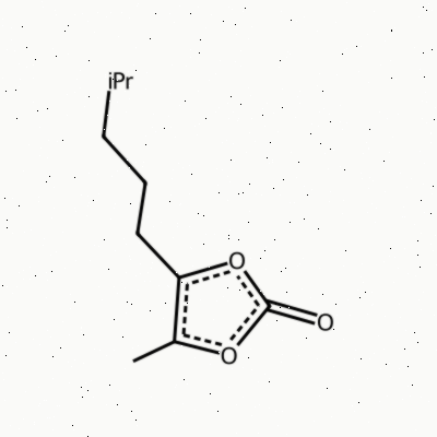 Cc1oc(=O)oc1CCCC(C)C